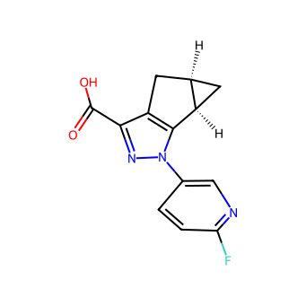 O=C(O)c1nn(-c2ccc(F)nc2)c2c1C[C@H]1C[C@@H]21